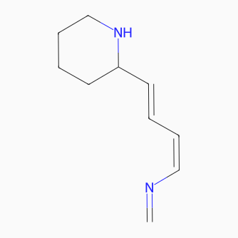 C=N/C=C\C=C\C1CCCCN1